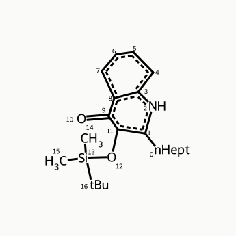 CCCCCCCc1[nH]c2ccccc2c(=O)c1O[Si](C)(C)C(C)(C)C